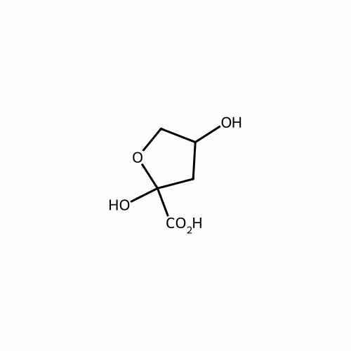 O=C(O)C1(O)CC(O)CO1